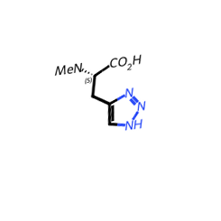 CN[C@@H](Cc1c[nH]nn1)C(=O)O